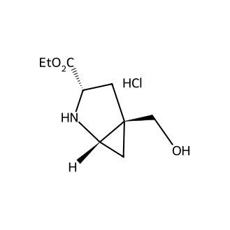 CCOC(=O)[C@@H]1C[C@]2(CO)C[C@@H]2N1.Cl